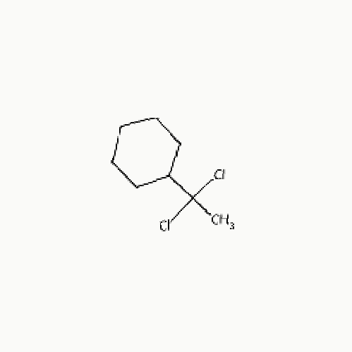 CC(Cl)(Cl)C1CCCCC1